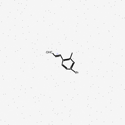 Cc1cc(C(C)C)ccc1/C=C/C=O